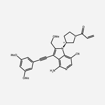 C=CC(=O)N1CC[C@H](n2c(COC)c(C#Cc3cc(OC)cc(OC)c3)c3c(N)ncc(C#N)c32)C1